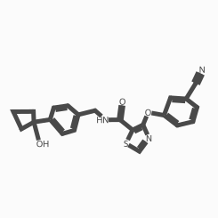 N#Cc1cccc(Oc2ncsc2C(=O)NCc2ccc(C3(O)CCC3)cc2)c1